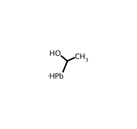 C[CH](O)[PbH]